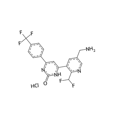 Cl.NCc1cnc(C(F)F)c(-c2cc(-c3ccc(C(F)(F)F)cc3)nc(=O)[nH]2)c1